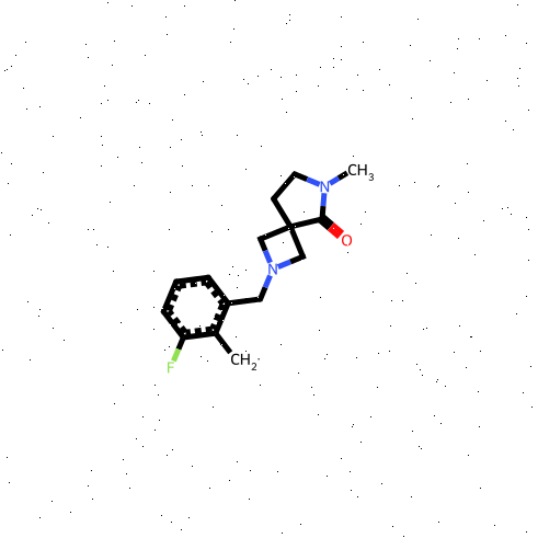 [CH2]c1c(F)cccc1CN1CC2(CCN(C)C2=O)C1